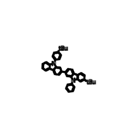 CC(C)(C)c1ccc(-n2c3ccccc3c3ccc(-c4ccc5c6ccc(C(C)(C)C)cc6n(-c6ccccc6)c5c4)cc32)cc1